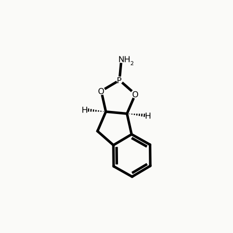 NP1O[C@@H]2Cc3ccccc3[C@@H]2O1